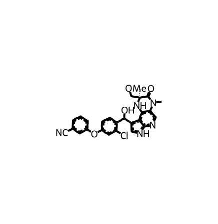 COC[C@]1(C)Nc2c(cnc3[nH]cc(C(O)c4ccc(Oc5cccc(C#N)c5)cc4Cl)c23)N(C)C1=O